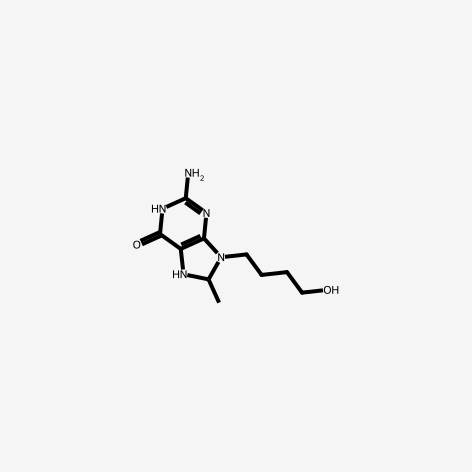 CC1Nc2c(nc(N)[nH]c2=O)N1CCCCO